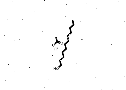 CC(=O)[O-].CCCCCCCCCCCCO.[Tl+]